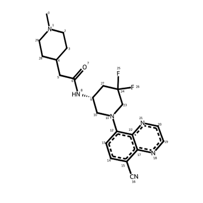 CN1CCC(CC(=O)N[C@H]2CN(c3ccc(C#N)c4nccnc34)CC(F)(F)C2)CC1